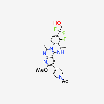 COc1nc2nc(C)nc(NC(C)c3cccc(C(F)(F)CO)c3F)c2cc1C1=CCN(C(C)=O)CC1